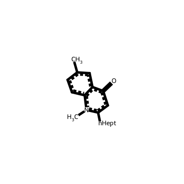 CCCCCCCc1cc(=O)c2cc(C)ccc2n1C